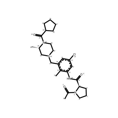 CC(=O)N1CCC[C@@H]1C(=O)Nc1cc(Cl)cc(CN2CCN(C(=O)C3CCCC3)[C@@H](C)C2)c1C